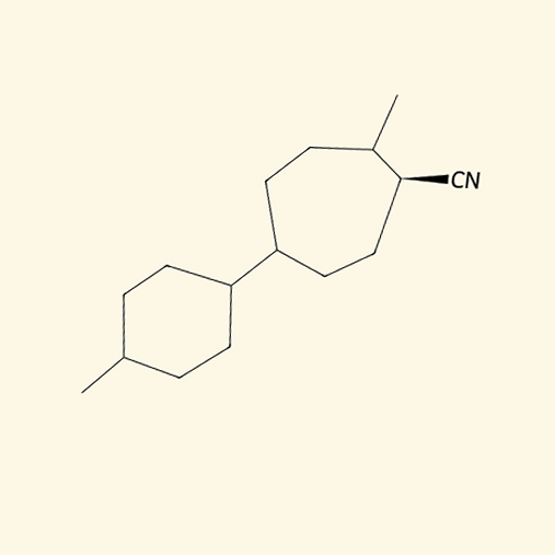 CC1CCC(C2CCC(C)[C@@H](C#N)CC2)CC1